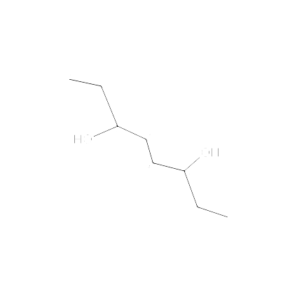 CCC(O)[CH]CC(O)CC